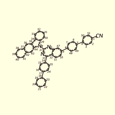 N#Cc1ccc(-c2ccc(-c3ccc4c(-c5ccc(-c6ccccc6)cc5)nc(-n5c6ccccc6c6cc7ccccc7cc65)nc4c3)cc2)cc1